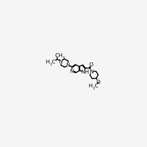 COC1CCN(C(=O)c2cc3cc(N4CCN(C(C)C)CC4)ncc3[nH]2)CC1